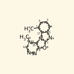 Cc1cccc2nc3oc4nnc[n+](C)c4n3c12